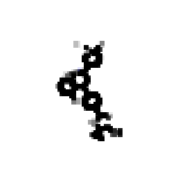 Cc1ccccc1C(C/C(=N\O)c1ccc(=O)n(C)c1)c1ccc(C(=O)NC2(CO)CC2)cc1